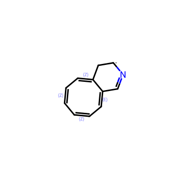 [CH]1CC2=C/C=C\C=C/C=C\2C=N1